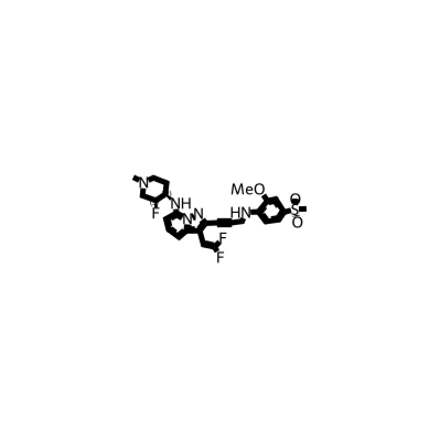 COc1cc(S(C)(=O)=O)ccc1NCC#Cc1nn2c(N[C@@H]3CCN(C)C[C@@H]3F)cccc2c1C=C(F)F